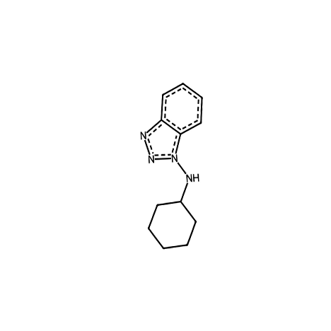 c1ccc2c(c1)nnn2NC1CCCCC1